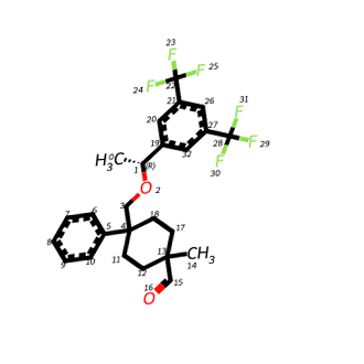 C[C@@H](OCC1(c2ccccc2)CCC(C)(C=O)CC1)c1cc(C(F)(F)F)cc(C(F)(F)F)c1